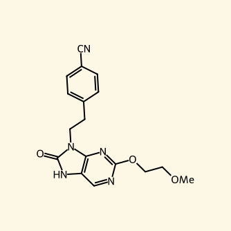 COCCOc1ncc2[nH]c(=O)n(CCc3ccc(C#N)cc3)c2n1